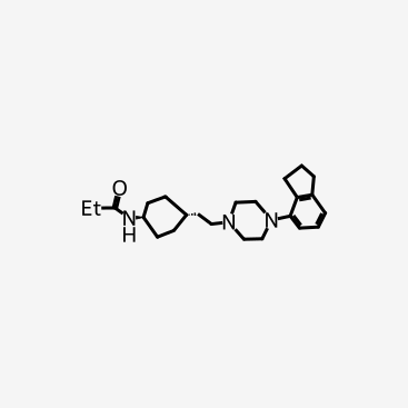 CCC(=O)N[C@H]1CC[C@H](CCN2CCN(c3cccc4c3CCC4)CC2)CC1